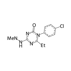 CCc1nc(NNC)nc(=O)n1-c1ccc(Cl)cc1